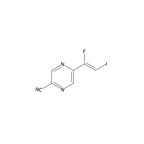 N#Cc1cnc(C(F)=CI)cn1